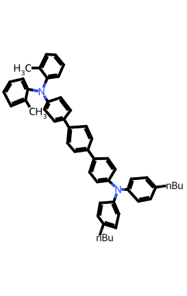 CCCCc1ccc(N(c2ccc(CCCC)cc2)c2ccc(-c3ccc(-c4ccc(N(c5ccccc5C)c5ccccc5C)cc4)cc3)cc2)cc1